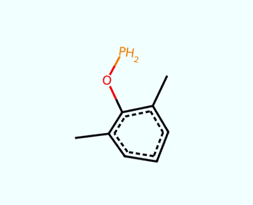 Cc1cccc(C)c1OP